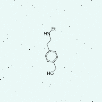 CCNCCc1ccc(CO)cc1